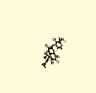 CC(F)(F)[C@@]1(C#CC2CC2)NC(=O)Nc2cc(Cn3ccnc(N)c3=O)c(F)cc21